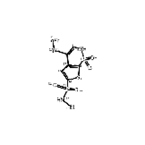 CCCNC1=CNS(=O)(=O)c2sc(S(=O)(=O)NCC)cc21